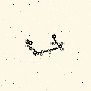 Cc1ccc(CN2CC[C@@H](Nc3cccc4cnccc34)C2)cc1OCC(=O)OCCCOC(=O)CCCC=CC[C@@H]1[C@@H](CC[C@@H](O)CCc2ccccc2)[C@H](O)C[C@@H]1O